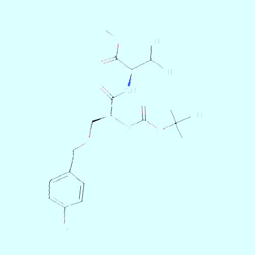 COC(=O)[C@H](NC(=O)[C@H](COCc1ccc(Br)cc1)NC(=O)OC(C)(C)C)C(C)C